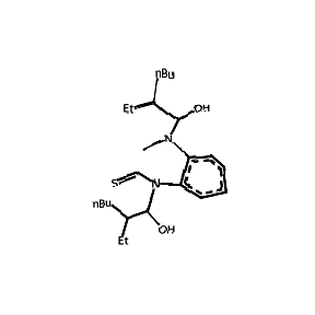 CCCCC(CC)C(O)N(C)c1ccccc1N(C=S)C(O)C(CC)CCCC